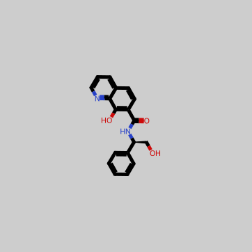 O=C(N[C@@H](CO)c1ccccc1)c1ccc2cccnc2c1O